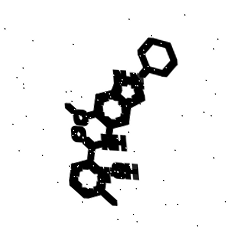 COc1cc2nn(C3CCCCC3)cc2cc1NC(=O)c1cccc(C)[n+]1O